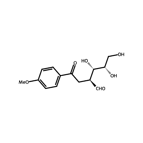 COc1ccc(C(=O)C[C@H](C=O)[C@H](O)[C@@H](O)CO)cc1